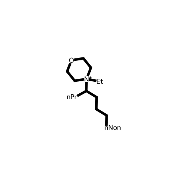 CCCCCCCCCCCCC(CCC)[N+]1(CC)CCOCC1